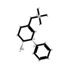 CC(=O)[C@@H]1CCC(C[Si](C)(C)C)=C[C@@H]1c1ccccc1